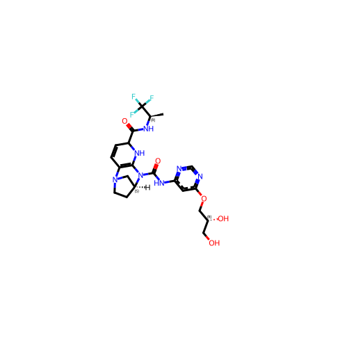 C[C@@H](NC(=O)C1C=CC2=C(N1)N(C(=O)Nc1cc(OC[C@H](O)CO)ncn1)[C@H]1CCN2C1)C(F)(F)F